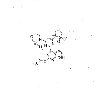 CCOc1cc(-c2nc([C@H]3CCCS3(=O)=O)cc(N3CCOC[C@H]3C)n2)c2cc[nH]c2n1